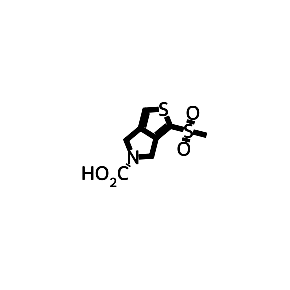 CS(=O)(=O)c1scc2c1CN(C(=O)O)C2